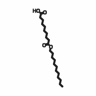 CCCCCCCCCCCCOC(=O)CCCCCCCCC(=O)O